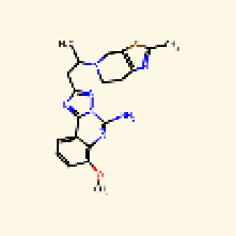 COc1cccc2c1nc(N)n1nc(CC(C)N3CCc4nc(C)sc4C3)nc21